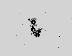 Cn1cc(-c2cccc(F)c2-c2nc3cc(C(=O)NC4CCC(C)(O)CC4)ccn3c2Cl)cn1